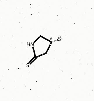 [S][C@H]1CNC(=S)C1